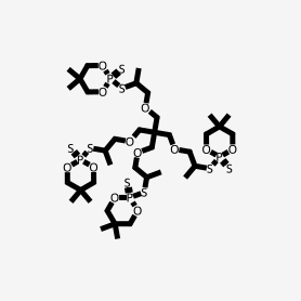 CC(COCC(COCC(C)SP1(=S)OCC(C)(C)CO1)(COCC(C)SP1(=S)OCC(C)(C)CO1)COCC(C)SP1(=S)OCC(C)(C)CO1)SP1(=S)OCC(C)(C)CO1